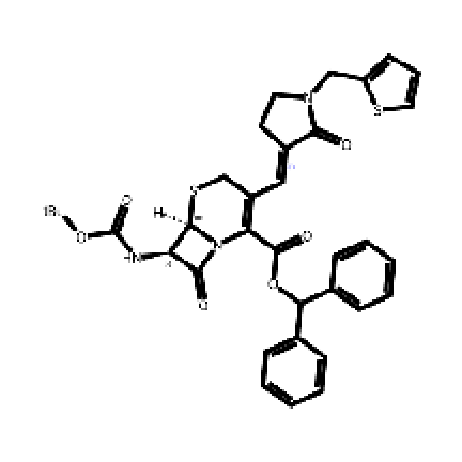 CC(C)(C)OC(=O)N[C@@H]1C(=O)N2C(C(=O)OC(c3ccccc3)c3ccccc3)=C(/C=C3\CCN(Cc4cccs4)C3=O)CS[C@H]12